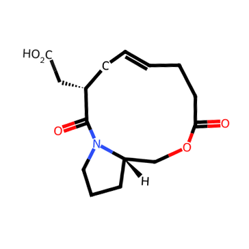 O=C(O)C[C@@H]1C/C=C/CCC(=O)OC[C@@H]2CCCN2C1=O